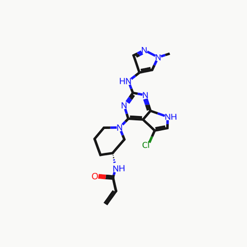 C=CC(=O)N[C@@H]1CCCN(c2nc(Nc3cnn(C)c3)nc3[nH]cc(Cl)c23)C1